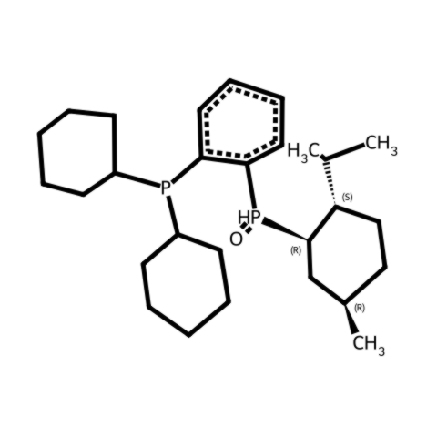 CC(C)[C@@H]1CC[C@@H](C)C[C@H]1[PH](=O)c1ccccc1P(C1CCCCC1)C1CCCCC1